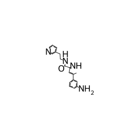 C/C(=C\C(=N)C(=O)NCCc1cccnc1)c1cccc(N)c1